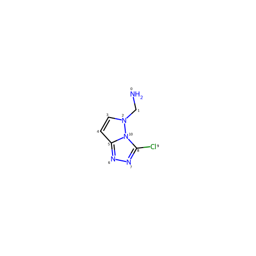 NCn1ccc2nnc(Cl)n21